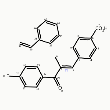 C/C(=C\c1ccc(C(=O)O)cc1)C(=O)c1ccc(F)cc1.C=Cc1ccccc1